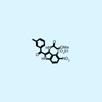 CCOC(=O)c1c([N+](=O)[O-])ccc2[nH]c(C(=O)c3cccc(C)c3)c(NC(=O)COC)c12